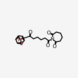 O=C(CCCCC(=O)N1C(=O)CCCCC1=O)N1Cc2ccc(cc2)C1